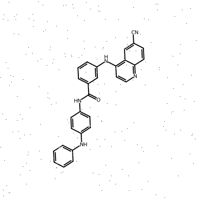 N#Cc1ccc2nccc(Nc3cccc(C(=O)Nc4ccc(Nc5ccccc5)cc4)c3)c2c1